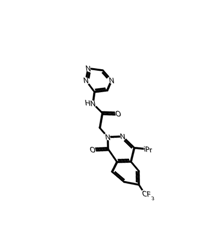 CC(C)c1nn(CC(=O)Nc2cncnn2)c(=O)c2ccc(C(F)(F)F)cc12